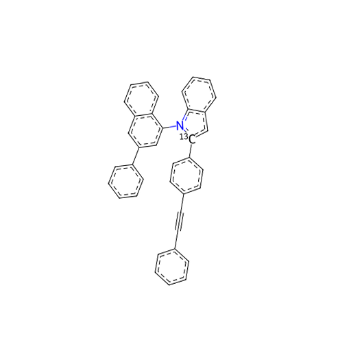 C(#Cc1ccc(-[13c]2cc3ccccc3n2-c2cc(-c3ccccc3)cc3ccccc23)cc1)c1ccccc1